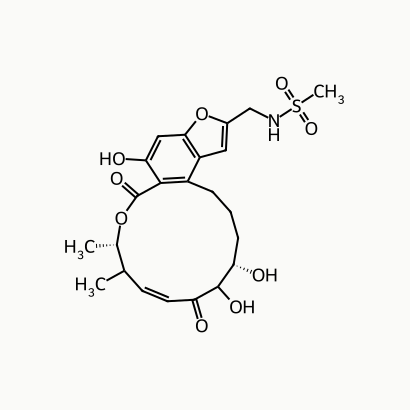 CC1/C=C\C(=O)C(O)[C@@H](O)CCCc2c(c(O)cc3oc(CNS(C)(=O)=O)cc23)C(=O)O[C@H]1C